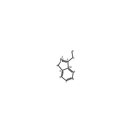 CCC1=NCc2ccccc21